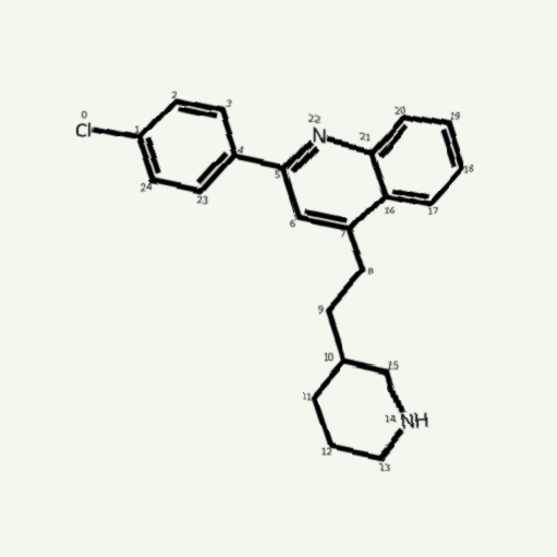 Clc1ccc(-c2cc(CCC3CCCNC3)c3ccccc3n2)cc1